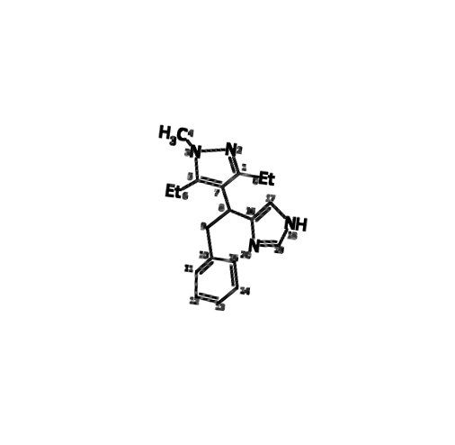 CCc1nn(C)c(CC)c1C(Cc1ccccc1)c1c[nH]cn1